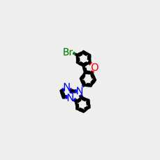 Brc1ccc2oc3ccc(-n4c5ccccc5n5ccnc45)cc3c2c1